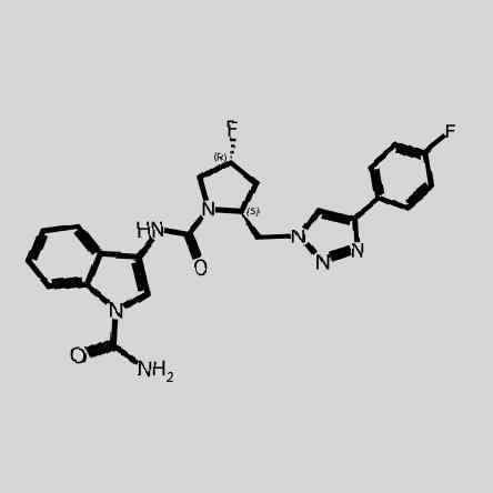 NC(=O)n1cc(NC(=O)N2C[C@H](F)C[C@H]2Cn2cc(-c3ccc(F)cc3)nn2)c2ccccc21